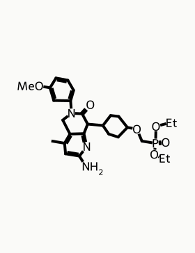 CCOP(=O)(COC1CCC(C2C(=O)N(c3cccc(OC)c3)Cc3c(C)cc(N)nc32)CC1)OCC